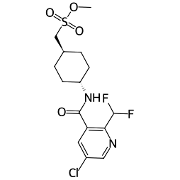 COS(=O)(=O)C[C@H]1CC[C@H](NC(=O)c2cc(Cl)cnc2C(F)F)CC1